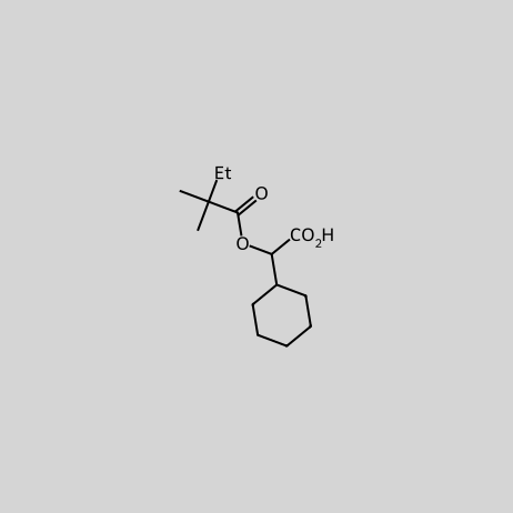 CCC(C)(C)C(=O)OC(C(=O)O)C1CCCCC1